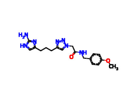 COc1ccc(CNC(=O)Cn2cc(CCCc3c[nH]c(N)n3)nn2)cc1